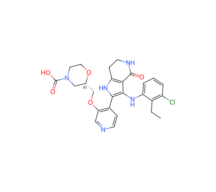 CCc1c(Cl)cccc1Nc1c(-c2ccncc2OC[C@@H]2CN(C(=O)O)CCO2)[nH]c2c1C(=O)NCC2